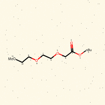 CCCCOC(=O)COCCOCCOC